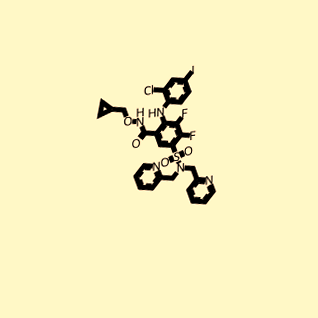 O=C(NOCC1CC1)c1cc(S(=O)(=O)N(Cc2ccccn2)Cc2ccccn2)c(F)c(F)c1Nc1ccc(I)cc1Cl